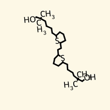 CC(C)(CO)CCCCC1CCCC(CCC2CCCC(CCCCC(C)(C)CO)S2)S1